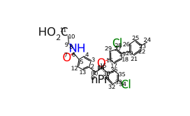 CCC[C@H](c1ccc(C(=O)NCCC(=O)O)cc1)[C@@H](Oc1ccc(-c2ccc(C)cc2)c(Cl)c1)c1ccc(Cl)cc1